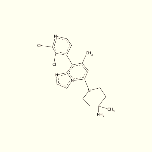 Cc1cc(N2CCC(C)(N)CC2)n2ccnc2c1-c1ccnc(Cl)c1Cl